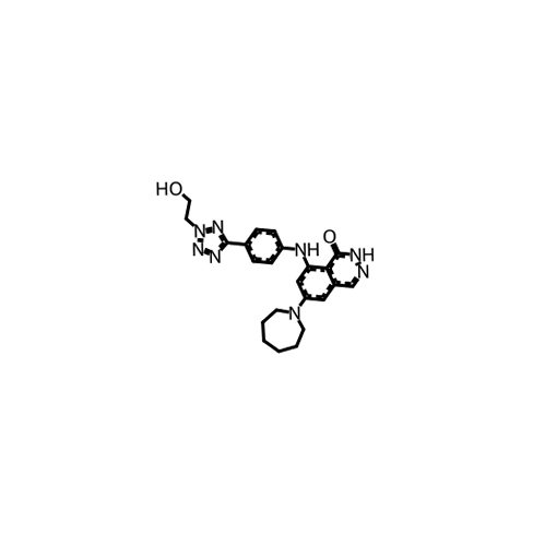 O=c1[nH]ncc2cc(N3CCCCCC3)cc(Nc3ccc(-c4nnn(CCO)n4)cc3)c12